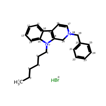 Br.CCCCCCn1c2c(c3ccccc31)C=CN(Cc1ccccc1)C2